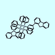 c1ccc([Si]2(c3cccc(-c4cccc5c4Cc4ccccc4-5)c3)[Si](c3ccccc3)(c3ccccc3)[Si](c3ccccc3)(c3cccc4c3Cc3ccccc3-4)[Si]2(c2ccccc2)c2ccccc2)cc1